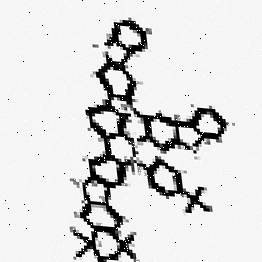 CC(C)(C)c1ccc(Nc2cc3c(cc2-c2ccc4c5cc6sc7ccccc7c6cc5n5c4c2Bc2cc4sc6ccccc6c4cc2-5)oc2cc4c(cc23)C(C)(C)CCC4(C)C)cc1